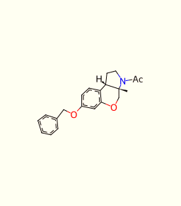 CC(=O)N1CC[C@H]2c3ccc(OCc4ccccc4)cc3OC[C@]21C